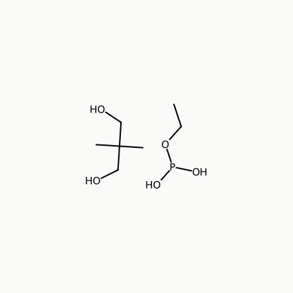 CC(C)(CO)CO.CCOP(O)O